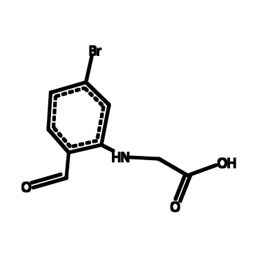 O=Cc1ccc(Br)cc1NCC(=O)O